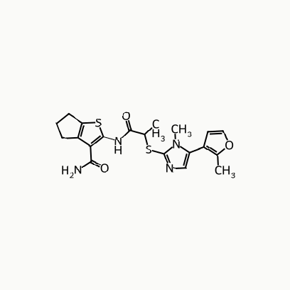 Cc1occc1-c1cnc(SC(C)C(=O)Nc2sc3c(c2C(N)=O)CCC3)n1C